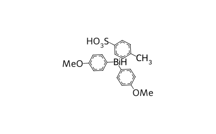 COc1cc[c]([BiH][c]2ccc(OC)cc2)cc1.Cc1ccc(S(=O)(=O)O)cc1